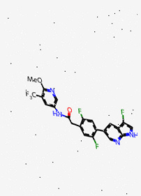 COc1ncc(NC(=O)Cc2cc(F)c(-c3cnc4[nH]cc(F)c4c3)cc2F)cc1C(F)(F)F